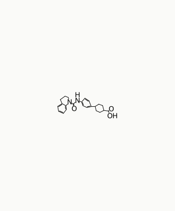 O=C(O)C1CCC(c2ccc(NC(=O)N3CCCc4ccccc43)cc2)CC1